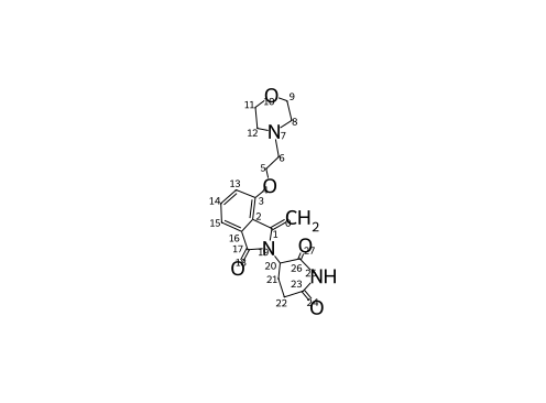 C=C1c2c(OCCN3CCOCC3)cccc2C(=O)N1C1CCC(=O)NC1=O